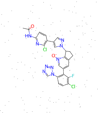 CC(=O)Nc1ccc(-c2cnn(C3CCc4cc(-c5c(-n6cnnn6)ccc(Cl)c5F)c[n+]([O-])c43)c2)c(Cl)n1